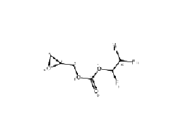 O=C(OCC1CO1)OC(F)C(F)F